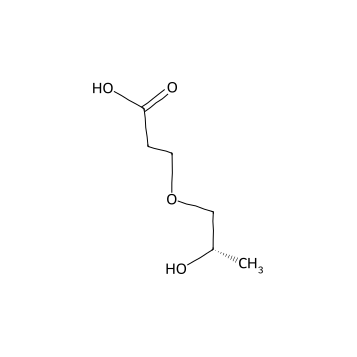 C[C@H](O)COCCC(=O)O